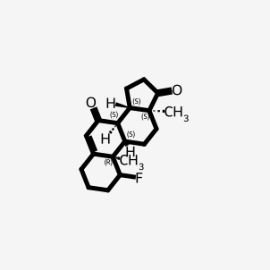 C[C@]12CC[C@H]3[C@@H](C(=O)C=C4CCCC(F)[C@@]43C)[C@@H]1CCC2=O